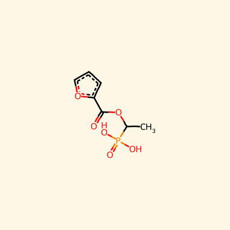 CC(OC(=O)c1ccco1)P(=O)(O)O